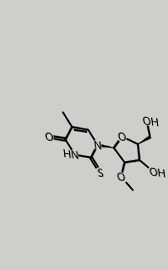 COC1C(O)[C@H](CO)O[C@@H]1n1cc(C)c(=O)[nH]c1=S